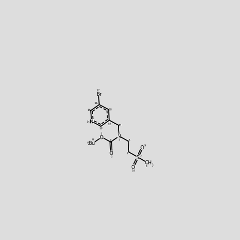 CC(C)(C)OC(=O)N(CCS(C)(=O)=O)Cc1cncc(Br)c1